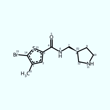 Cc1cc(C(=O)NC[C@H]2CCNC2)sc1Br